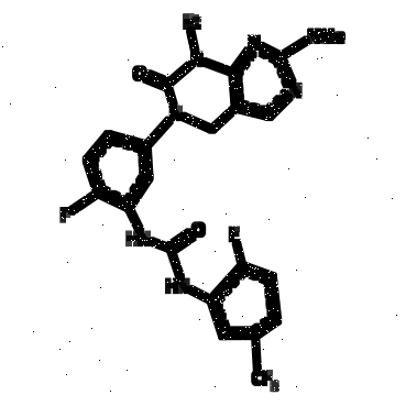 CCN1C(=O)N(c2ccc(F)c(NC(=O)Nc3cc(C(F)(F)F)ccc3F)c2)Cc2cnc(NC)nc21